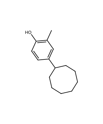 Cc1cc(C2CCCCCCC2)ccc1O